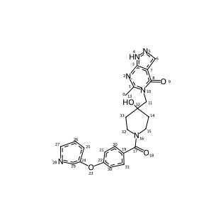 Cc1nc2[nH]ncc2c(=O)n1CC1(O)CCN(C(=O)c2ccc(Oc3cccnc3)cc2)CC1